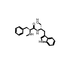 CN[C@@H](Cc1ccccc1)C(=O)N[C@H](CO)Cc1c[nH]c2ccccc12